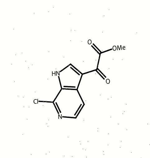 COC(=O)C(=O)c1c[nH]c2c(Cl)nccc12